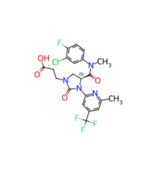 Cc1cc(C(F)(F)F)cc(N2C(=O)N(CCC(=O)O)C[C@H]2C(=O)N(C)c2ccc(F)c(Cl)c2)n1